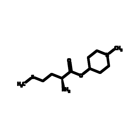 CSCC[C@H](N)C(=O)OC1CCN(C)CC1